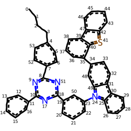 CCCCc1ccc(-c2nc(-c3ccccc3)nc(-c3cccc(-n4c5ccccc5c5ccc(-c6cccc7c6sc6ccccc67)cc54)c3)n2)cc1